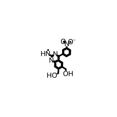 CNc1nc(-c2cccc([N+](=O)[O-])c2)c2cc(CO)c(CO)cc2n1